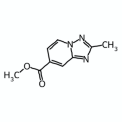 COC(=O)c1ccn2nc(C)nc2c1